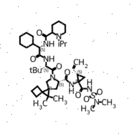 C=C[C@@H]1C[C@]1(NC(=O)[C@@H]1C[C@@]2(CN1C(=O)[C@@H](NC(=O)[C@@H](NC(=O)C1CCCCN1C(C)C)C1CCCCC1)C(C)(C)C)C(C)(C)C21CCC1)C(=O)NS(=O)(=O)N(C)C